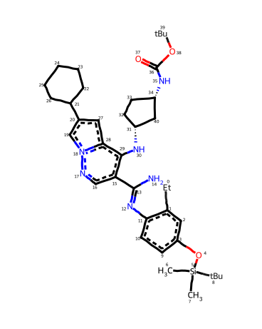 CCc1cc(O[Si](C)(C)C(C)(C)C)ccc1/N=C(\N)c1cnn2cc(C3CCCCC3)cc2c1N[C@@H]1CC[C@H](NC(=O)OC(C)(C)C)C1